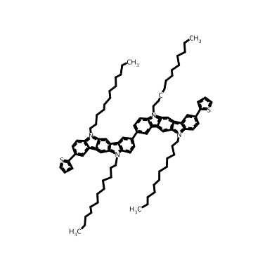 CCCCCCCCCCCCn1c2ccc(-c3ccc4c(c3)c3cc5c(cc3n4CCCCCCCCCCCC)c3cc(-c4cccs4)ccc3n5CCCCCCCCCCCC)cc2c2cc3c(cc21)c1cc(-c2cccs2)ccc1n3CCCCCCCCCCCC